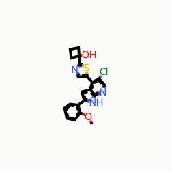 COc1ccccc1-c1cc2c(-c3cnc(C4(O)CCC4)s3)c(Cl)cnc2[nH]1